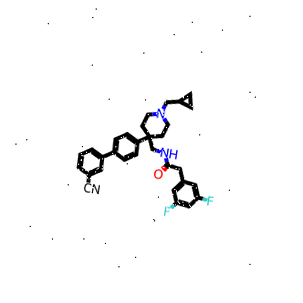 N#Cc1cccc(-c2ccc(C3(CNC(=O)Cc4cc(F)cc(F)c4)CCN(CC4CC4)CC3)cc2)c1